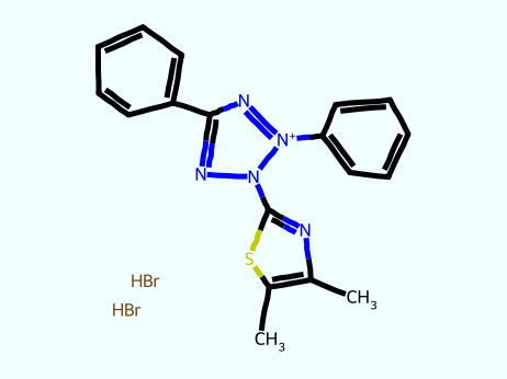 Br.Br.Cc1nc(-n2nc(-c3ccccc3)n[n+]2-c2ccccc2)sc1C